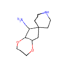 NC1C2OCCOC2CC12CCNCC2